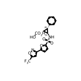 O=C(O)O.O=S(=O)(N[C@H]1C[C@@H]1c1ccccc1)c1ccc(-c2cc(C(F)(F)F)on2)o1